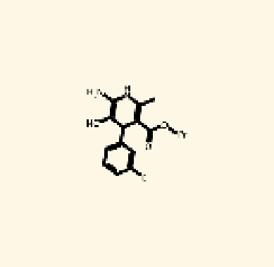 CC1=C(C(=O)OC(C)C)C(c2cccc(Cl)c2)C(C#N)=C(N)N1